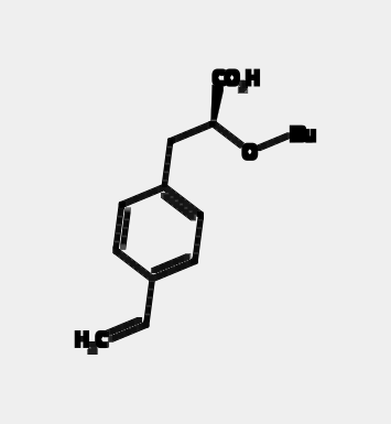 C=Cc1ccc(C[C@H](OC(C)CC)C(=O)O)cc1